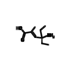 CCC(N)(/C=C(\C)C(=O)O)CC